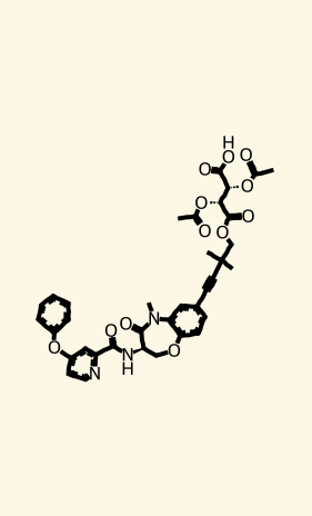 CC(=O)O[C@@H](C(=O)O)[C@@H](OC(C)=O)C(=O)OCC(C)(C)C#Cc1ccc2c(c1)N(C)C(=O)[C@H](NC(=O)c1cc(Oc3ccccc3)ccn1)CO2